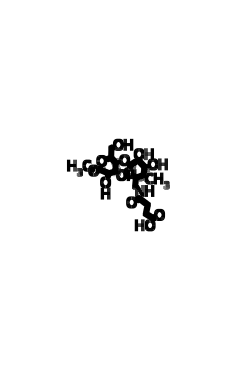 CO[C@H]1OC(CO)[C@@H](O[C@H]2OC(CNC(=O)CCC(=O)O)[C@@H](C)[C@H](O)C2O)[C@H](O)C1O